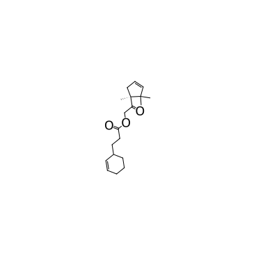 CC1(C)C=CC[C@]1(C)C(=O)COC(=O)CCC1C=CCCC1